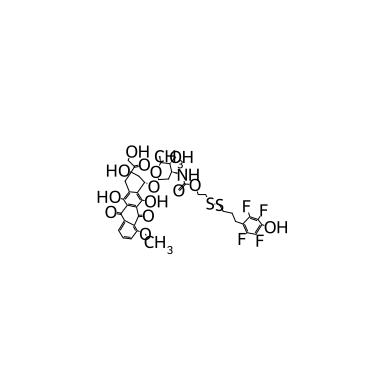 COc1cccc2c1C(=O)c1c(O)c3c(c(O)c1C2=O)C[C@@](O)(C(=O)CO)C[C@@H]3O[C@H]1C[C@H](NC(=O)OCCSSCCCc2c(F)c(F)c(O)c(F)c2F)[C@H](O)[C@H](C)O1